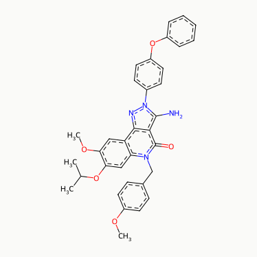 COc1ccc(Cn2c(=O)c3c(N)n(-c4ccc(Oc5ccccc5)cc4)nc3c3cc(OC)c(OC(C)C)cc32)cc1